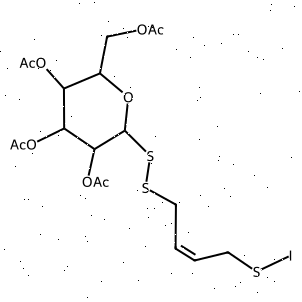 CC(=O)OCC1OC(SSC/C=C\CSI)C(OC(C)=O)C(OC(C)=O)C1OC(C)=O